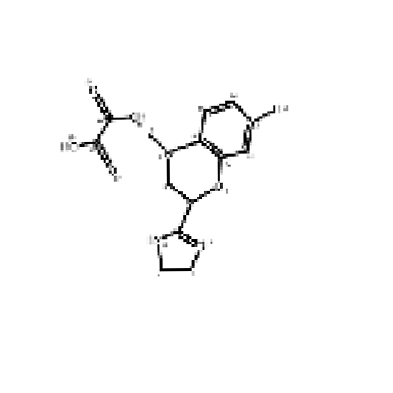 CN1CC(C2=NCCN2)Oc2cc(Cl)ccc21.O=C(O)C(=O)O